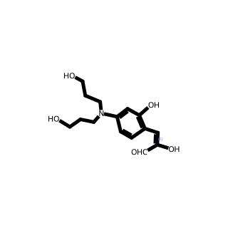 O=C/C(O)=C\c1ccc(N(CCCO)CCCO)cc1O